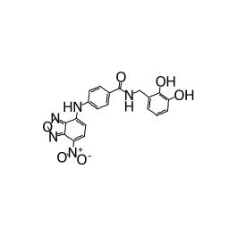 O=C(NCc1cccc(O)c1O)c1ccc(Nc2ccc([N+](=O)[O-])c3nonc23)cc1